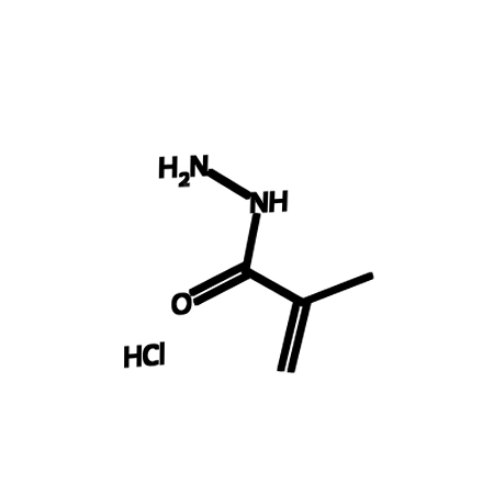 C=C(C)C(=O)NN.Cl